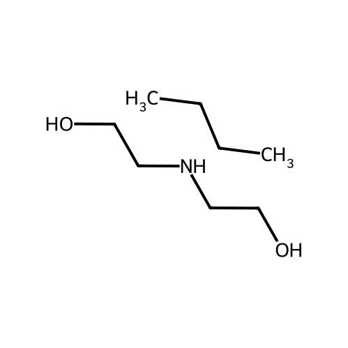 CCCC.OCCNCCO